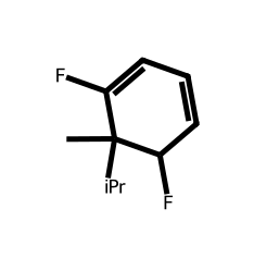 CC(C)C1(C)C(F)=CC=CC1F